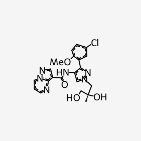 COc1ccc(Cl)cc1-c1nn(C[C@](C)(O)CO)cc1NC(=O)c1cnn2cccnc12